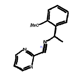 COc1ccccc1C(C)/N=C/c1ncccn1